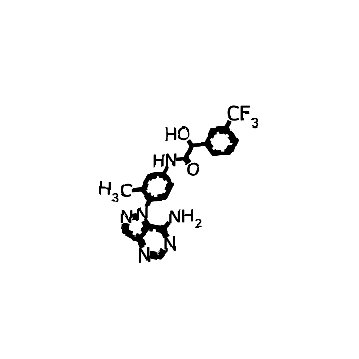 Cc1cc(NC(=O)C(O)c2cccc(C(F)(F)F)c2)ccc1-n1ncc2ncnc(N)c21